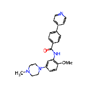 COc1ccc(N2CCN(C)CC2)cc1NC(=O)c1ccc(-c2ccncc2)cc1